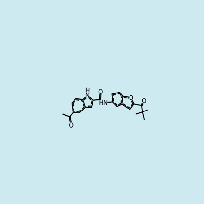 CC(=O)c1ccc2[nH]c(C(=O)Nc3ccc4oc(C(=O)C(C)(C)C)cc4c3)cc2c1